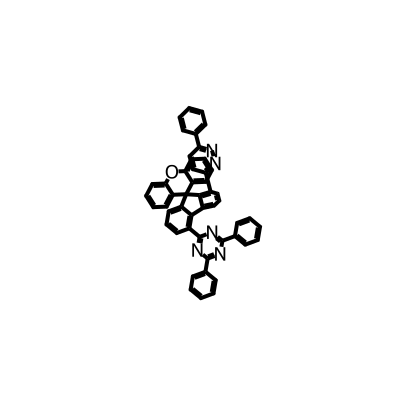 c1ccc(-c2ccc(-c3cccc4c3C3(c5ccccc5Oc5ccccc53)c3cccc(-c5nc(-c6ccccc6)nc(-c6ccccc6)n5)c3-4)nn2)cc1